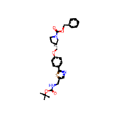 CC(C)(C)OC(=O)NCc1cnc(-c2ccc(OC[C@@H]3CCN(C(=O)OCc4ccccc4)C3)cc2)s1